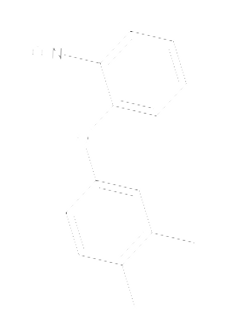 Cc1ccc(Oc2ccccc2[N+](=O)[O-])cc1C